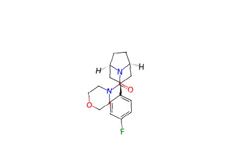 O=C(N1CCOCC1)N1[C@@H]2CC[C@H]1C[C@@H](c1ccc(F)cc1)C2